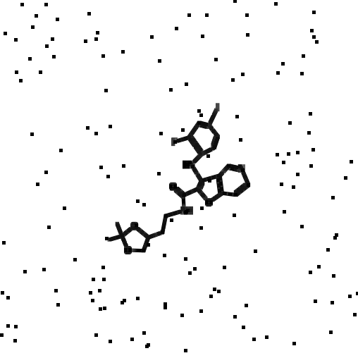 CC1(C)OCC(CCNC(=O)c2oc3ccncc3c2Nc2ccc(I)cc2F)O1